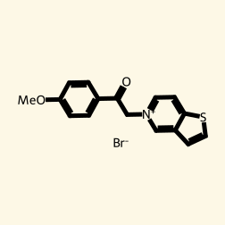 COc1ccc(C(=O)C[n+]2ccc3sccc3c2)cc1.[Br-]